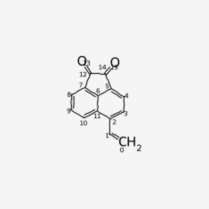 C=Cc1ccc2c3c(cccc13)C(=O)C2=O